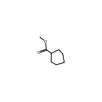 COC(=O)[C]1CCCCC1